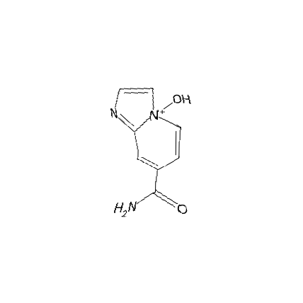 NC(=O)C1=CC2=NC=C[N+]2(O)C=C1